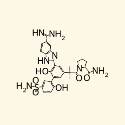 CC(C)(C(=O)N1CCCC1C(N)=O)c1cc(-c2nc3cc(C(=N)N)ccc3[nH]2)c(O)c(-c2cc(S(N)(=O)=O)ccc2O)c1